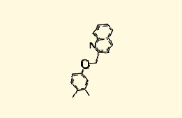 Cc1ccc(OCc2ccc3ccccc3n2)cc1C